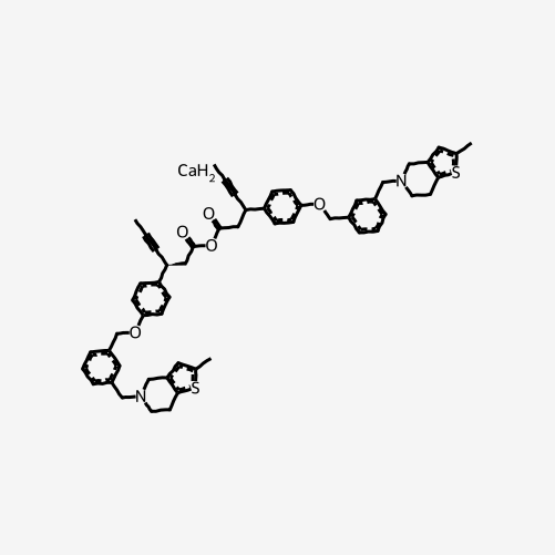 CC#CC(CC(=O)OC(=O)C[C@H](C#CC)c1ccc(OCc2cccc(CN3CCc4sc(C)cc4C3)c2)cc1)c1ccc(OCc2cccc(CN3CCc4sc(C)cc4C3)c2)cc1.[CaH2]